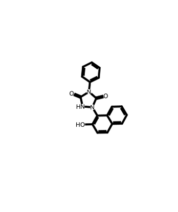 O=c1[nH]n(-c2c(O)ccc3ccccc23)c(=O)n1-c1ccccc1